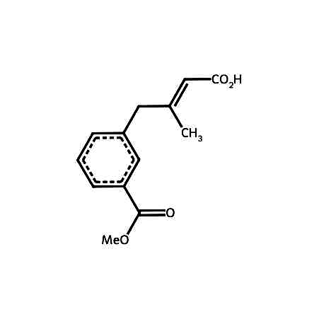 COC(=O)c1cccc(C/C(C)=C/C(=O)O)c1